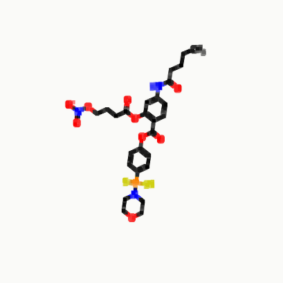 CCCCC(=O)Nc1ccc(C(=O)Oc2ccc(P(=S)(S)N3CCOCC3)cc2)c(OC(=O)CCCO[N+](=O)[O-])c1